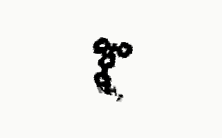 CC1(c2ccccc2)c2ccccc2-c2cc(-c3ccc(N)cc3)ccc21